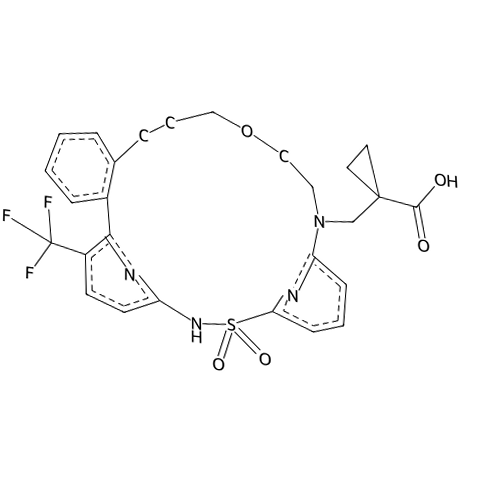 O=C(O)C1(CN2CCOCCCc3ccccc3-c3nc(ccc3C(F)(F)F)NS(=O)(=O)c3cccc2n3)CC1